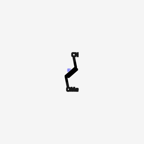 CO/C=C/C#N